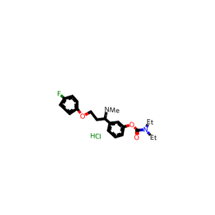 CCN(CC)C(=O)Oc1cccc(C(CCOc2ccc(F)cc2)NC)c1.Cl